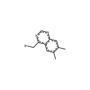 Cc1cc2ncnc(CBr)c2cc1C